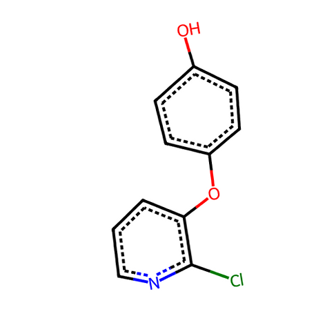 Oc1ccc(Oc2cccnc2Cl)cc1